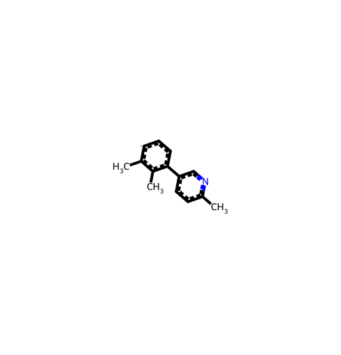 Cc1ccc(-c2cc[c]c(C)c2C)cn1